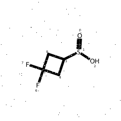 O=S(O)C1CC(F)(F)C1